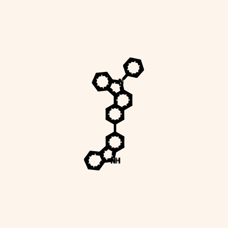 c1ccc(-n2c3ccccc3c3c4ccc(-c5ccc6[nH]c7ccccc7c6c5)cc4ccc32)cc1